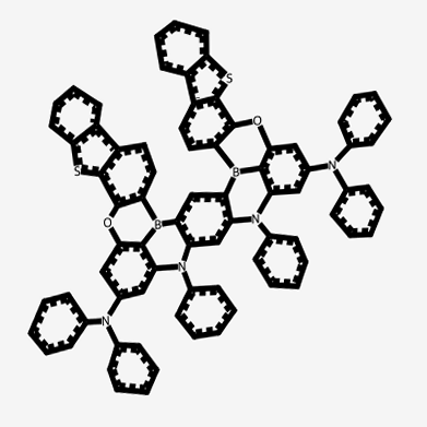 c1ccc(N(c2ccccc2)c2cc3c4c(c2)N(c2ccccc2)c2cc5c(cc2B4c2ccc4c(sc6ccccc64)c2O3)B2c3ccc4c(sc6ccccc64)c3Oc3cc(N(c4ccccc4)c4ccccc4)cc(c32)N5c2ccccc2)cc1